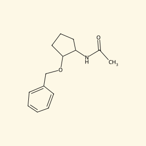 CC(=O)NC1CCCC1OCc1ccccc1